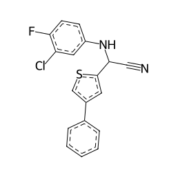 N#CC(Nc1ccc(F)c(Cl)c1)c1cc(-c2ccccc2)cs1